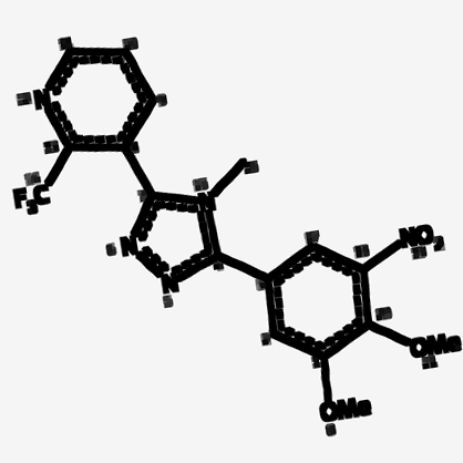 COc1cc(-c2nnc(-c3cccnc3C(F)(F)F)n2C)cc([N+](=O)[O-])c1OC